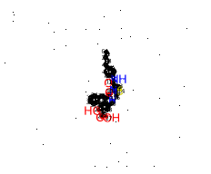 CCCCCc1ccc(NC(=O)c2csc(CN(Cc3ccc(O)c(C(=O)O)c3)C(=O)/C=C/c3ccccc3)n2)cc1